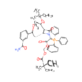 C[C@@H](O[Si](C)(C)C)[C@H]1C(=O)N(C(C(=O)OCOC(=O)C(C)(C)C)=P(c2ccccc2)(c2ccccc2)c2ccccc2)[C@@H]1CC(=O)c1cccc(C(N)=O)c1